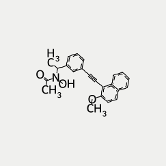 COc1ccc2ccccc2c1C#Cc1cccc(C(C)N(O)C(C)=O)c1